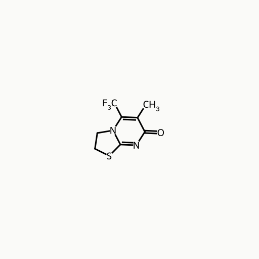 Cc1c(C(F)(F)F)n2c(nc1=O)SCC2